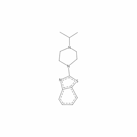 CC(C)N1CCN(c2nc3ccccc3s2)CC1